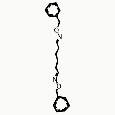 C(CCCCC=NOCc1ccccc1)=NOCc1ccccc1